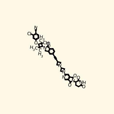 CC1(C)[C@H](Oc2ccc(C#N)c(Cl)c2)C(C)(C)[C@H]1N1Cc2cc(C#CC3CN(C4CN(c5cc6c(cn5)C(=O)N(C5CCC(=O)NC5=O)C6=O)C4)C3)ccc2C1=O